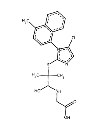 Cc1ccc(-n2c(Cl)cnc2SC(C)(C)C(O)NCC(=O)O)c2ccccc12